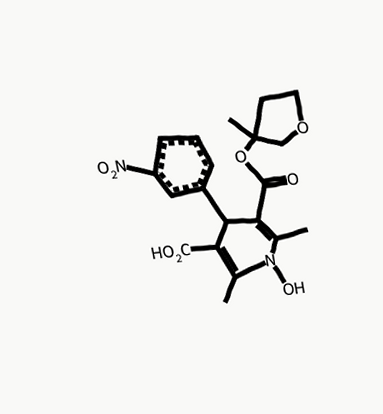 CC1=C(C(=O)O)C(c2cccc([N+](=O)[O-])c2)C(C(=O)OC2(C)CCOC2)=C(C)N1O